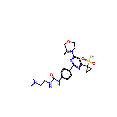 CC(C)S(=O)(=O)C1(c2cc(N3CCOC[C@@H]3C)nc(-c3ccc(NC(=O)NCCN(C)C)cc3)n2)CC1